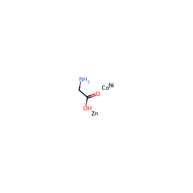 NCC(=O)O.[Co].[Ni].[Zn]